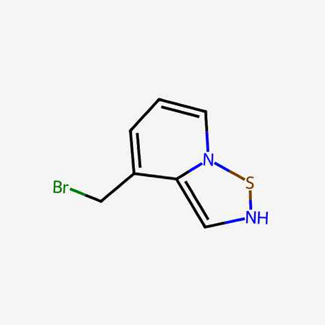 BrCC1=CC=CN2SNC=C12